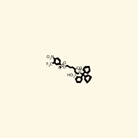 O=C(O)[C@@H](CCCOS(=O)(=O)c1ccc([N+](=O)[O-])c(C(F)(F)F)c1)C[C@@H](NC(c1ccccc1)(c1ccccc1)c1ccccc1)C(=O)O